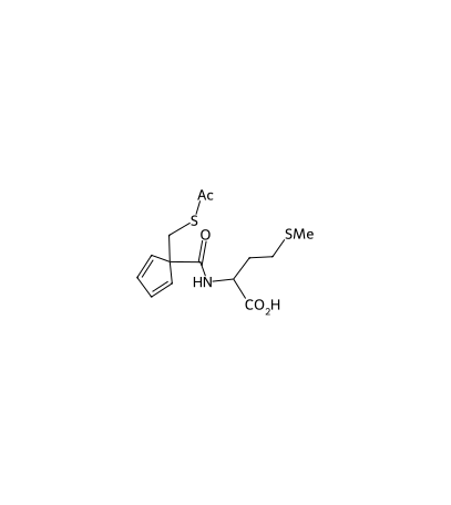 CSCCC(NC(=O)C1(CSC(C)=O)C=CC=C1)C(=O)O